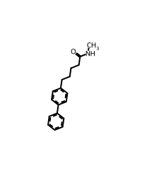 CNC(=O)CCCCc1ccc(-c2ccccc2)cc1